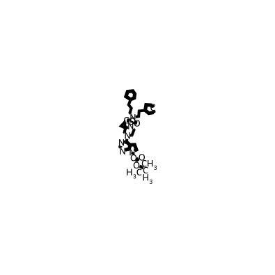 CC(C)(C)OC(=O)On1ccc2c(N3CCN(S(=O)(=O)N(CCCc4ccccc4)CCc4ccccc4)C4(CC4)C3)ncnc21